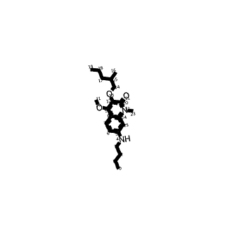 CCCCNc1ccc2c(OC)c(OCC(C)CCC)c(=O)n(C)c2c1